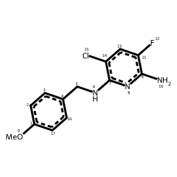 COc1ccc(CNc2nc(N)c(F)cc2Cl)cc1